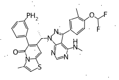 CNc1ncnc2c1c(-c1ccc(OC(F)F)c(C)c1)nn2[C@@H](C)c1cc2scc(C)n2c(=O)c1-c1cccc(P)c1